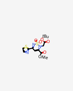 COC(=O)C1=CC(c2nccs2)=NS(=O)(=O)N1CC(=O)OC(C)(C)C